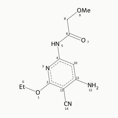 CCOc1nc(NC(=O)COC)cc(N)c1C#N